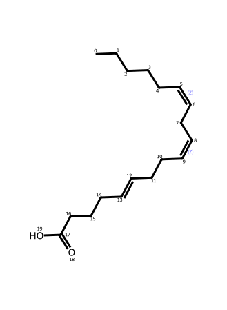 CCCCC/C=C\C/C=C\CCC=CCCCC(=O)O